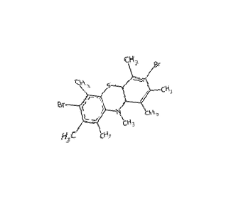 CC1=C(C)C2C(Sc3c(C)c(Br)c(C)c(C)c3N2C)C(C)=C1Br